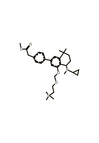 COC(=O)Cc1ccc(-c2cc(OCOCC[Si](C)(C)C)c3c(c2)C(C)(C)CCC3N(C)C2CC2)cc1